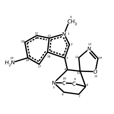 Cn1cc(C2N3CCC(CC3)C23CN=CO3)c2cc(N)ccc21